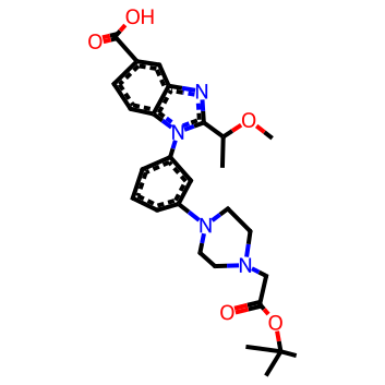 COC(C)c1nc2cc(C(=O)O)ccc2n1-c1cccc(N2CCN(CC(=O)OC(C)(C)C)CC2)c1